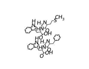 CSCCC(N)C(=O)NC(Cc1c[nH]c2ccccc12)C(=O)O.NC(Cc1ccccc1)C(=O)NC(Cc1c[nH]c2ccccc12)C(=O)O